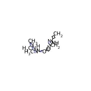 C=C1CC(C(=N)/N=C\C(=C)N2CC[C@@H](O/C=C/N\N=C(C)/N=C(C)/N=C/C)C2)C1